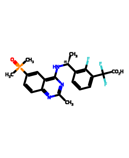 Cc1nc(N[C@H](C)c2cccc(C(F)(F)C(=O)O)c2F)c2cc(P(C)(C)=O)ccc2n1